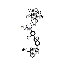 C=N/C(=C\NCCN(CCC)C(=O)[C@@H](NC(=O)OC)C(C)C)c1ccc(-c2cc3cc(-c4cnc([C@@H]5CCCN5C(=O)CC(C)C)[nH]4)ccc3o2)c(Cl)c1